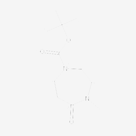 CN1CCN(C(=O)OC(C)(C)C)CCC1=O